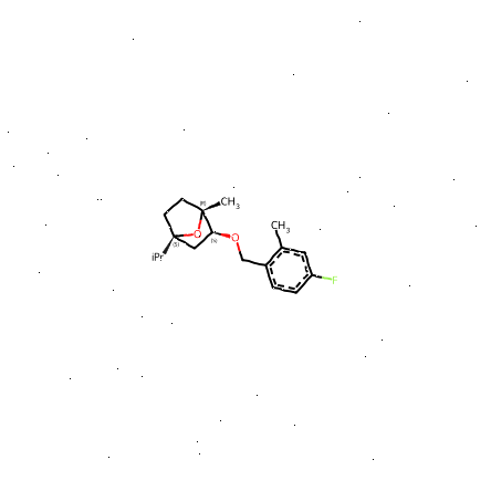 Cc1cc(F)ccc1CO[C@H]1C[C@]2(C(C)C)CC[C@@]1(C)O2